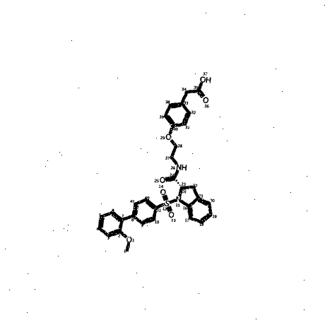 COc1ccccc1-c1ccc(S(=O)(=O)N2c3ccccc3C[C@H]2C(=O)NCCOc2ccc(CC(=O)O)cc2)cc1